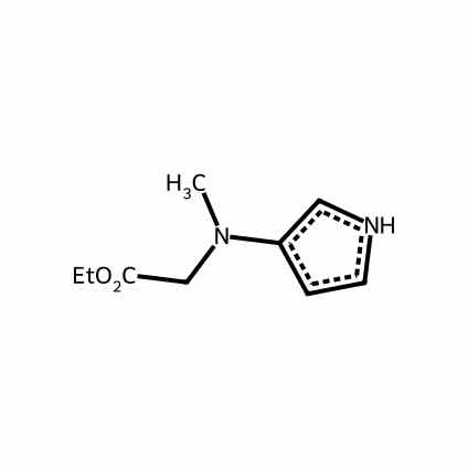 CCOC(=O)CN(C)c1cc[nH]c1